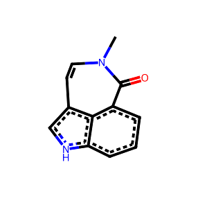 CN1C=Cc2c[nH]c3cccc(c23)C1=O